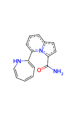 NC(=O)c1ccc2cccc(C3=CC=CC=CN3)n12